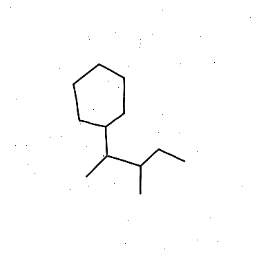 CCC(C)[C](C)C1CCCCC1